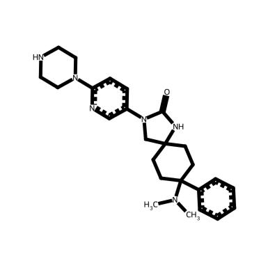 CN(C)C1(c2ccccc2)CCC2(CC1)CN(c1ccc(N3CCNCC3)nc1)C(=O)N2